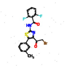 Cc1cccc(-c2sc(NC(=O)c3c(F)cccc3F)nc2C(=O)CBr)c1